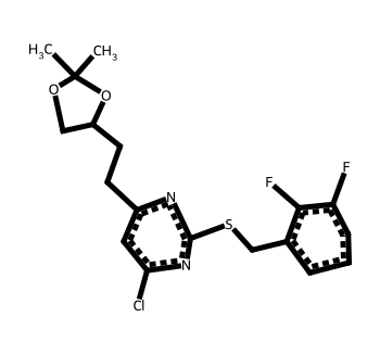 CC1(C)OCC(CCc2cc(Cl)nc(SCc3cccc(F)c3F)n2)O1